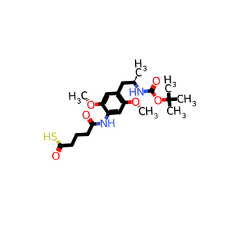 COc1cc(NC(=O)CCCC(=O)S)c(OC)cc1C[C@H](C)NC(=O)OC(C)(C)C